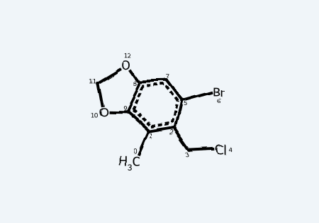 Cc1c(CCl)c(Br)cc2c1OCO2